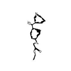 CCOC(=O)CSc1ccc(C(O)c2cccnc2)cc1